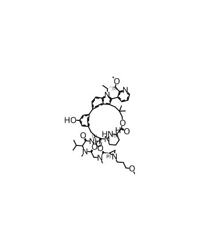 CCn1c(-c2cccnc2[C@H](C)OC)c2c3cc(ccc31)-c1cc(O)cc(c1)C[C@H](NC(=O)C(C(C)C)N(C)C(=O)CN(C)C(=O)[C@H]1CN1CCCOC)C(=O)N1CCC[C@H](N1)C(=O)OCC(C)(C)C2